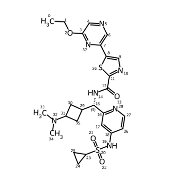 CCOc1cncc(-c2cnc(C(=O)N[C@H](c3cc(NS(=O)(=O)C4CC4)ccn3)C3CC(N(C)C)C3)s2)n1